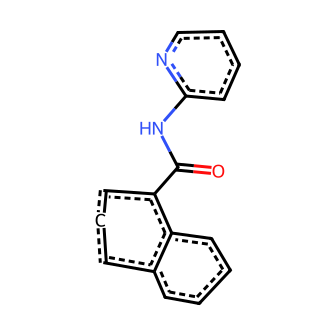 O=C(Nc1ccccn1)c1cccc2ccccc12